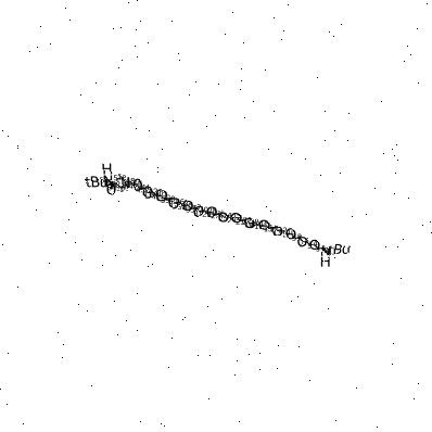 CC(C)(C)NCCOCCOCCOCCOCCOCCOCCOCCOCCOCCOCCOCCOCCOCCOCCOCCN1CCC(C(=O)NC(C)(C)C)CC1